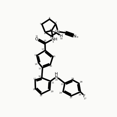 N#CN1CC2CCC1[C@@H]2NC(=O)c1ccc(-c2ccccc2Nc2ccc(F)cc2)cc1